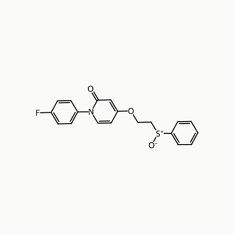 O=c1cc(OCC[S+]([O-])c2ccccc2)ccn1-c1ccc(F)cc1